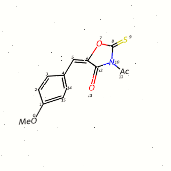 COc1ccc(/C=C2/OC(=S)N(C(C)=O)C2=O)cc1